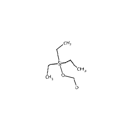 CC[Si](CC)(CC)OC[O]